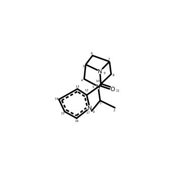 CC(C)N1CC2CC(C1)N2C(=O)c1ccccn1